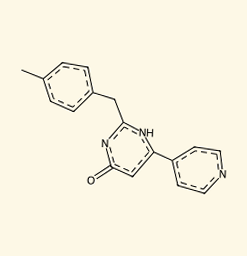 Cc1ccc(Cc2nc(=O)cc(-c3ccncc3)[nH]2)cc1